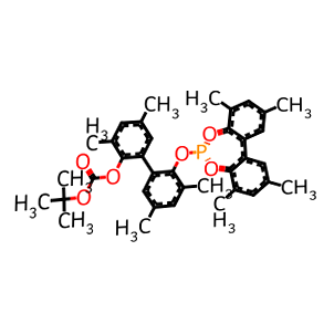 Cc1cc(C)c(OC(=O)OC(C)(C)C)c(-c2cc(C)cc(C)c2Op2oc3c(C)cc(C)cc3c3cc(C)cc(C)c3o2)c1